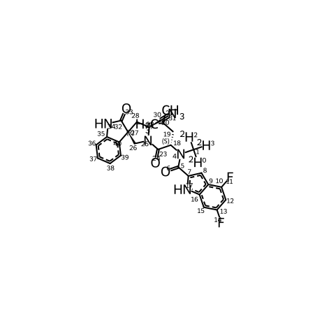 [2H]C([2H])([2H])N(C(=O)c1cc2c(F)cc(F)cc2[nH]1)[C@@H](CC(C)C)C(=O)N1C[C@]2(C[C@H]1C#N)C(=O)Nc1ccccc12